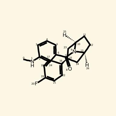 CNc1cccc(C(=O)N2[C@@H]3CC[C@H]2C[C@@H](c2ccc(F)cc2)C3)c1